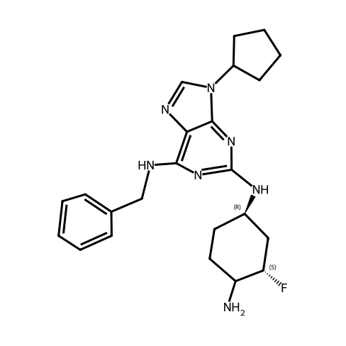 NC1CC[C@@H](Nc2nc(NCc3ccccc3)c3ncn(C4CCCC4)c3n2)C[C@@H]1F